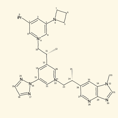 CC(C)c1cc(N2CCC2)c[n+](C[C@H](C)c2cc(-n3nccn3)c[n+](C[C@H](C)c3cnc4ncn(C)c4c3)c2)c1